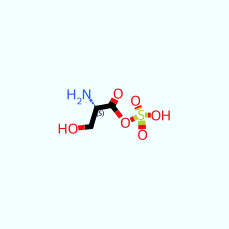 N[C@@H](CO)C(=O)OS(=O)(=O)O